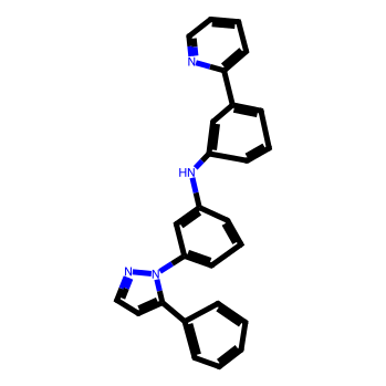 c1ccc(-c2ccnn2-c2cccc(Nc3cccc(-c4ccccn4)c3)c2)cc1